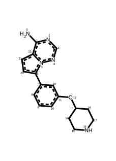 Nc1ncnn2c(-c3cccc(OC4CCNCC4)c3)ccc12